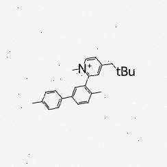 Cc1ccc(-c2ccc(C)c(-c3cc(CC(C)(C)C)cc[n+]3C)c2)cc1